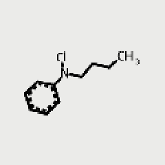 CCCCN(Cl)c1ccccc1